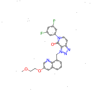 COCCOc1cnc2c(Cn3nnc4ccn(-c5cc(F)cc(F)c5)c(=O)c43)cccc2c1